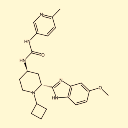 COc1ccc2[nH]c([C@H]3C[C@H](NC(=O)Nc4ccc(C)nc4)CCN3C3CCC3)nc2c1